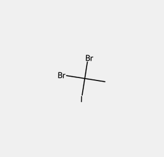 CC(Br)(Br)I